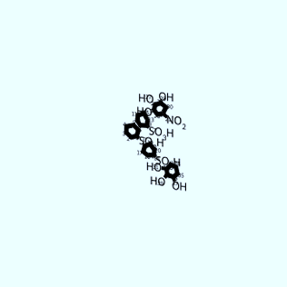 O=S(=O)(O)c1ccccc1.O=S(=O)(O)c1ccccc1.O=S(=O)(O)c1ccccc1.O=[N+]([O-])c1cc(O)c(O)c(O)c1.Oc1cccc(O)c1O